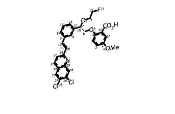 COc1ccc(OC[C@@H](OCCF)c2cccc(/C=C/c3ccc4cc(Cl)c(Cl)cc4n3)c2)c(C(=O)O)c1